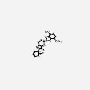 COc1ccc(C#N)c2c1CN(C1CCc3nn(-c4ccccc4Cl)c(C)c3C1)C2